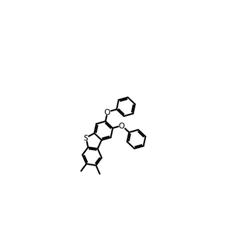 Cc1cc2sc3cc(Oc4ccccc4)c(Oc4ccccc4)cc3c2cc1C